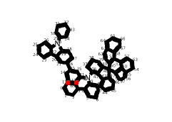 C1=CCC(c2ccccc2N(c2cccc(-c3ccc4c(c3)c3ccccc3n4-c3ccccc3)c2)c2cccc3c2-c2ccccc2C32C3=c4c(cccc4=CCC3)-c3c2ccc2ccccc32)C=C1